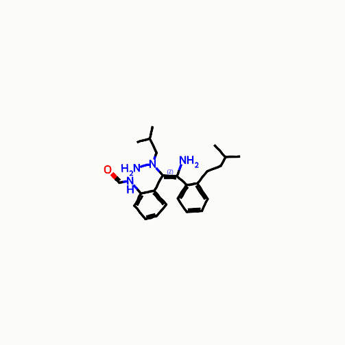 CC(C)CCc1ccccc1/C(N)=C(\c1ccccc1NC=O)N(N)CC(C)C